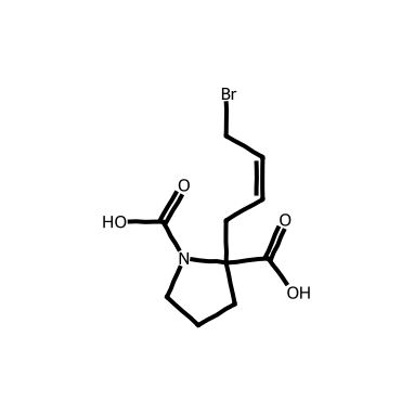 O=C(O)N1CCCC1(C/C=C\CBr)C(=O)O